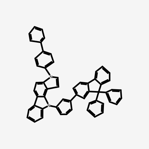 c1ccc(-c2ccc(-n3ccc4c3ccc3c5ccccc5n(-c5cccc(-c6ccc7c(c6)C(c6ccccc6)(c6ccccc6)c6ccccc6-7)c5)c34)cc2)cc1